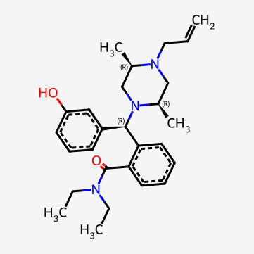 C=CCN1C[C@@H](C)N([C@H](c2cccc(O)c2)c2ccccc2C(=O)N(CC)CC)C[C@H]1C